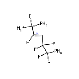 F/C(=C\C(F)(F)C(F)(F)P)C(F)(P)P